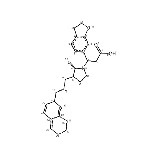 O=C(O)CC(c1ccc2c(n1)OCC2)N1CCC(CCCC2C=CC3=CCCNC3=N2)C1=O